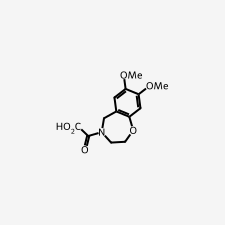 COc1cc2c(cc1OC)OCCN(C(=O)C(=O)O)C2